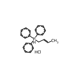 CC=CC[PH](c1ccccc1)(c1ccccc1)c1ccccc1.Cl